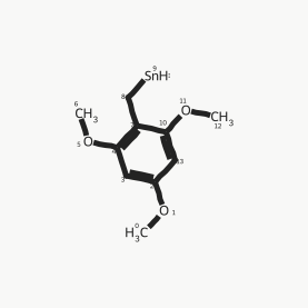 COc1cc(OC)c([CH2][SnH])c(OC)c1